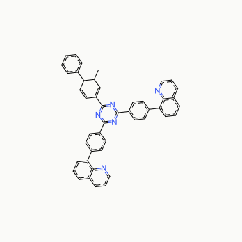 CC1C=C(c2nc(-c3ccc(-c4cccc5cccnc45)cc3)nc(-c3ccc(-c4cccc5cccnc45)cc3)n2)C=CC1c1ccccc1